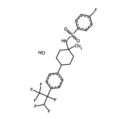 CC1(NS(=O)(=O)c2ccc(F)cc2)CCC(c2ccc(C(F)(C(F)F)C(F)(F)F)cc2)CC1.Cl